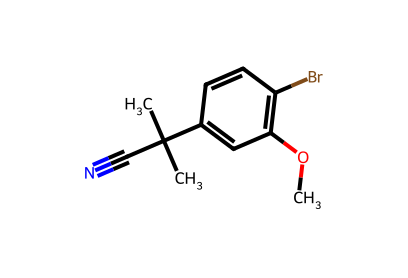 COc1cc(C(C)(C)C#N)ccc1Br